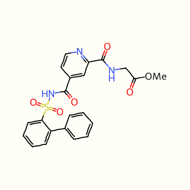 COC(=O)CNC(=O)c1cc(C(=O)NS(=O)(=O)c2ccccc2-c2ccccc2)ccn1